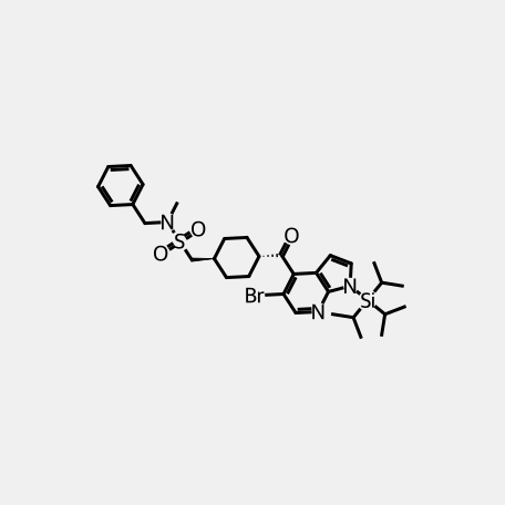 CC(C)[Si](C(C)C)(C(C)C)n1ccc2c(C(=O)[C@H]3CC[C@H](CS(=O)(=O)N(C)Cc4ccccc4)CC3)c(Br)cnc21